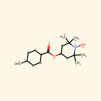 CC1(C)CC(OC(=O)C2CCC(C=O)CC2)CC(C)(C)N1O